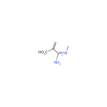 C=C(C(=O)O)/C(N)=N\C